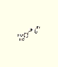 CC(C)C(=O)NCCc1ccc(O)c(O)c1